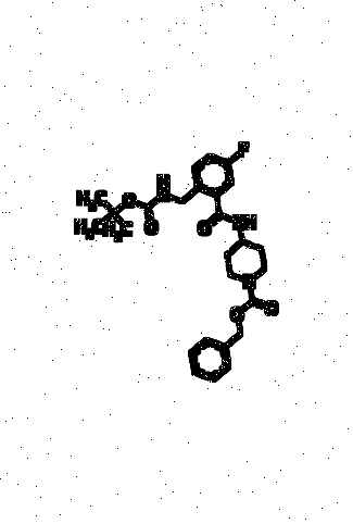 CC(C)(C)OC(=O)NCc1ccc(F)cc1C(=O)NC1CCN(C(=O)OCc2ccccc2)CC1